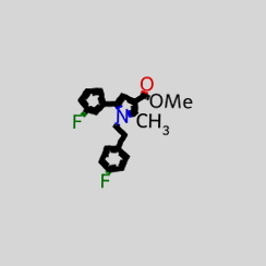 COC(=O)c1cc(-c2cccc(F)c2)n(CCc2ccc(F)cc2)c1C